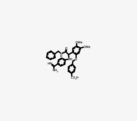 COc1cc(OCc2ccc(C(=O)O)cc2)c(C(Nc2ccc(C(=N)N)cc2)C(=O)NCc2ccccc2)cc1OC